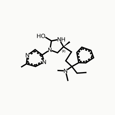 CCC(CC[C@]1(C)CN(c2cnc(C)cn2)C(O)N1)(c1ccccc1)N(C)C